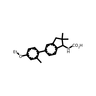 CCOc1ccc(-c2ccc3c(c2)CC(C)(C)C3NC(=O)O)c(C)c1